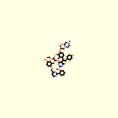 CCOC(=O)[C@@H](Cc1cc(O)ccc1OCc1ccnc(-c2ccccc2OC)n1)Oc1ncnc2sc(-c3ccc(F)cc3)c(-c3ccc(O[C@@H](CO)CN4CCN(C)CC4)c(Cl)c3C)c12